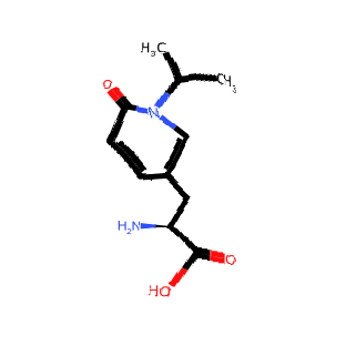 CC(C)n1cc(C[C@H](N)C(=O)O)ccc1=O